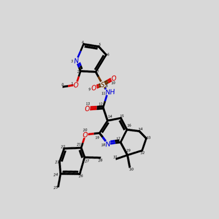 COc1ncccc1S(=O)(=O)NC(=O)c1cc2c(nc1Oc1ccc(C)cc1C)C(C)(C)CCC2